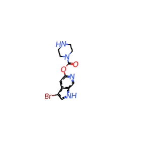 O=C(Oc1cc2c(Br)c[nH]c2cn1)N1CCNCC1